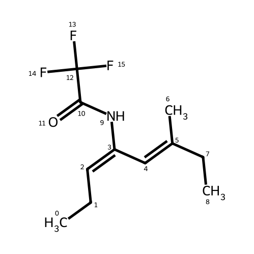 CC/C=C(\C=C(/C)CC)NC(=O)C(F)(F)F